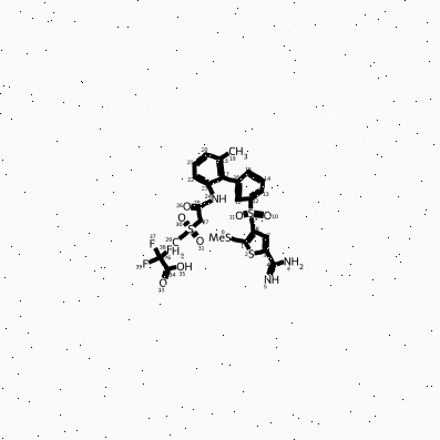 CSc1sc(C(=N)N)cc1S(=O)(=O)c1cccc(-c2c(C)cccc2NC(=O)CS(C)(=O)=O)c1.O=C(O)C(F)(F)F